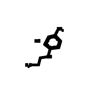 CCCNc1ccc(N)cc1.Cl